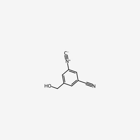 [C-]#[N+]c1cc(C#N)cc(CO)c1